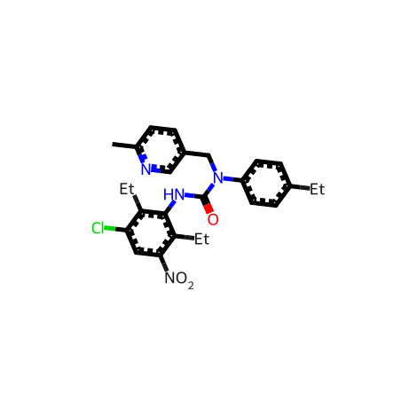 CCc1ccc(N(Cc2ccc(C)nc2)C(=O)Nc2c(CC)c(Cl)cc([N+](=O)[O-])c2CC)cc1